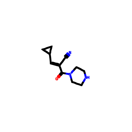 N#CC(=CC1CC1)C(=O)N1CCNCC1